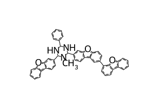 CN1C(c2ccc3c(c2)oc2ccccc23)NC(c2ccccc2)NC1c1ccc2c(c1)oc1ccc(-c3cccc4c3oc3ccccc34)cc12